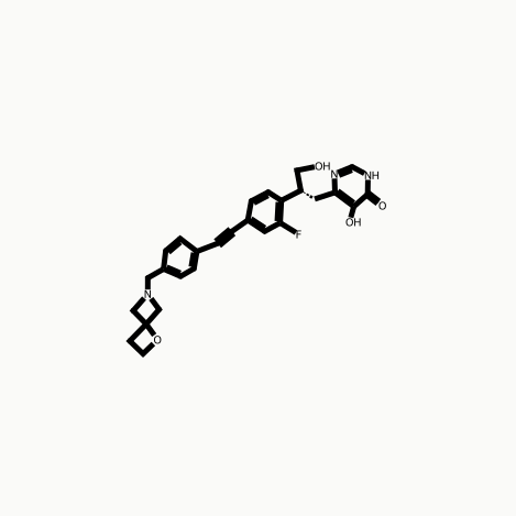 O=c1[nH]cnc(C[C@@H](CO)c2ccc(C#Cc3ccc(CN4CC5(CCO5)C4)cc3)cc2F)c1O